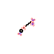 O=C(OCCCCC(CO[N+](=O)[O-])O[N+](=O)[O-])Oc1ccc([N+](=O)[O-])cc1